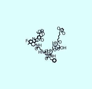 CC[C@@]1(O)C(=O)OCc2c1cc1n(c2=O)Cc2c-1nc1cc(F)c(C)c3c1c2[C@@H](NC(=O)CCCNC(=O)CNC(=O)[C@H](Cc1ccccc1)NC(=O)CNC(=O)CN(C)C(=O)[C@H](CC(=O)O)NC(=O)CCCCCN1C(=O)C=CC1=O)CC3